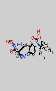 CC(C)(C)N(C(=O)O)c1ccc2ncc(C(=O)NO)cc2c1